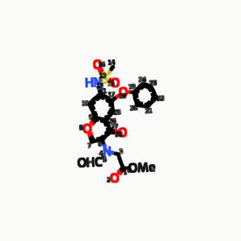 COC(=O)CN(C=O)c1coc2cc(NS(C)(=O)=O)c(Oc3ccccc3)cc2c1=O